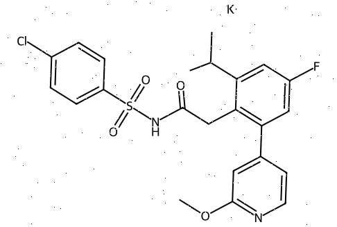 COc1cc(-c2cc(F)cc(C(C)C)c2CC(=O)NS(=O)(=O)c2ccc(Cl)cc2)ccn1.[K]